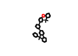 CC1(C)c2ccccc2Oc2ccc(-c3cccc(-c4ccc5c(c4)C(C)(c4ccccc4)c4ccccc4-5)c3)cc21